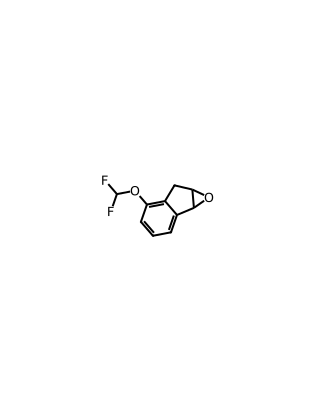 FC(F)Oc1cccc2c1CC1OC21